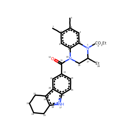 CCOC(=O)N1c2cc(C)c(C)cc2N(C(=O)c2ccc3[nH]c4c(c3c2)CCCC4)CC1CC